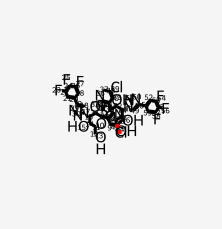 [O-][S+](C1(c2cncc(Cl)c2)OC(CO)C(O)C(n2cc(-c3cc(F)c(F)c(F)c3)nn2)C1O)C1(c2cncc(Cl)c2)OC(CO)C(O)C(n2cc(-c3cc(F)c(F)c(F)c3)nn2)C1O